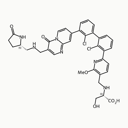 COc1nc(-c2cccc(-c3cccc(-c4ccn5c(=O)c(CNC[C@@H]6CCC(=O)N6)cnc5c4)c3Cl)c2Cl)ccc1CN[C@@H](CO)C(=O)O